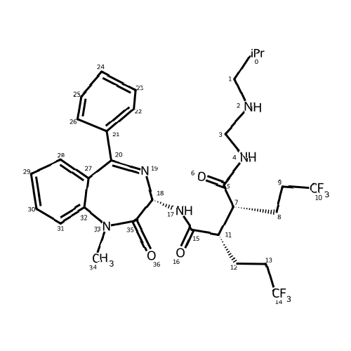 CC(C)CNCNC(=O)[C@H](CCC(F)(F)F)[C@H](CCC(F)(F)F)C(=O)N[C@H]1N=C(c2ccccc2)c2ccccc2N(C)C1=O